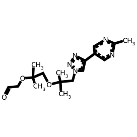 Cc1ncc(-c2cn(CC(C)(C)OCC(C)(C)OCC=O)nn2)cn1